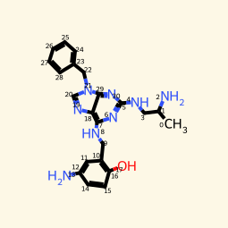 CC(N)CNc1nc(NCc2cc(N)ccc2O)c2ncn(Cc3ccccc3)c2n1